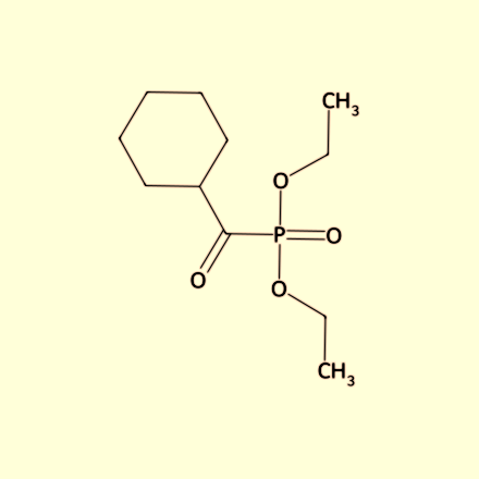 CCOP(=O)(OCC)C(=O)C1CCCCC1